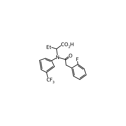 CCC(C(=O)O)N(C(=O)Cc1ccccc1F)c1cccc(C(F)(F)F)c1